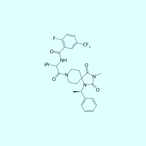 CC(C)C(NC(=O)c1cc(C(F)(F)F)ccc1F)C(=O)N1CCC2(CC1)C(=O)N(C)C(=O)N2[C@H](C)c1ccccc1